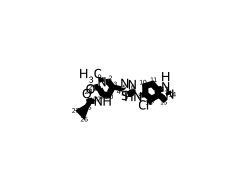 Cn1cc(-c2nnc(Nc3ccc4[nH]ncc4c3Cl)s2)cc(NC(=O)C2CC2)c1=O